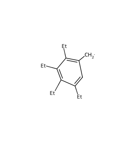 [CH2]c1cc(CC)c(CC)c(CC)c1CC